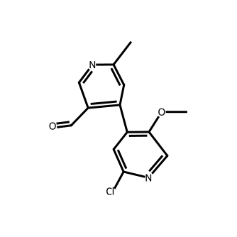 COc1cnc(Cl)cc1-c1cc(C)ncc1C=O